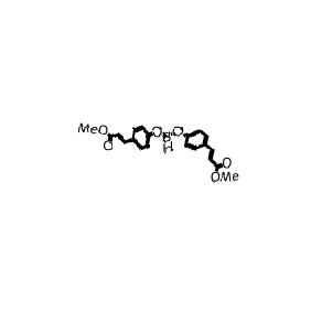 COC(=O)C=Cc1ccc(OBOc2ccc(C=CC(=O)OC)cc2)cc1